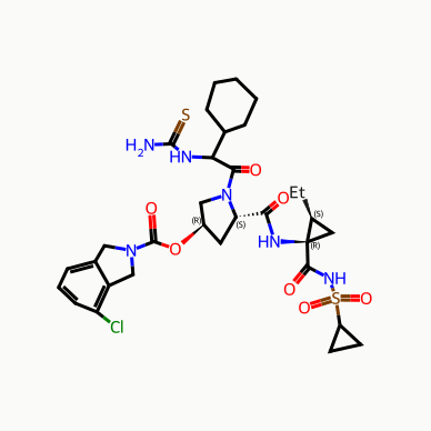 CC[C@H]1C[C@]1(NC(=O)[C@@H]1C[C@@H](OC(=O)N2Cc3cccc(Cl)c3C2)CN1C(=O)C(NC(N)=S)C1CCCCC1)C(=O)NS(=O)(=O)C1CC1